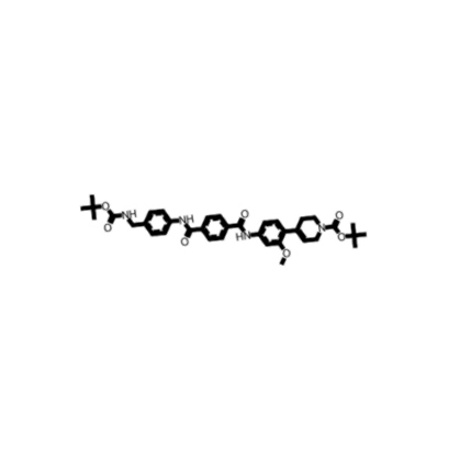 COc1cc(NC(=O)c2ccc(C(=O)Nc3ccc(CNC(=O)OC(C)(C)C)cc3)cc2)ccc1C1=CCN(C(=O)OC(C)(C)C)CC1